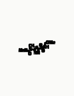 CNC(=O)N(C)c1nnc(S(=O)(=O)NCOC)s1